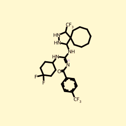 O=C(/N=C(\NC1CCC(F)(F)CC1)NC1NNC(C(F)(F)F)C12CCCCCCC2)c1ccc(C(F)(F)F)cc1